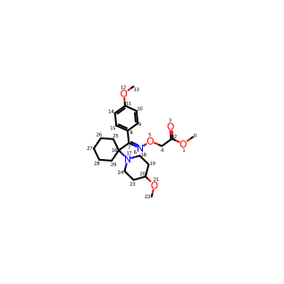 COC(=O)CON=C(c1ccc(OC)cc1)C1(N2CCC(OC)CC2)CCCCC1